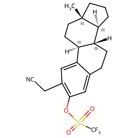 C[C@@]12CCC[C@H]1[C@@H]1CCc3cc(OS(=O)(=O)C(F)(F)F)c(CC#N)cc3[C@H]1CC2